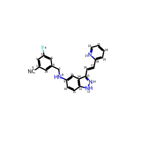 N#Cc1cc(F)cc(CNc2ccc3[nH]nc(/C=C/c4ccccn4)c3c2)c1